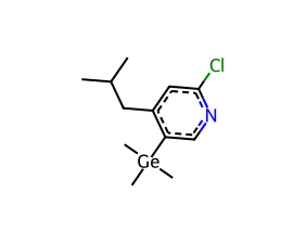 CC(C)Cc1cc(Cl)nc[c]1[Ge]([CH3])([CH3])[CH3]